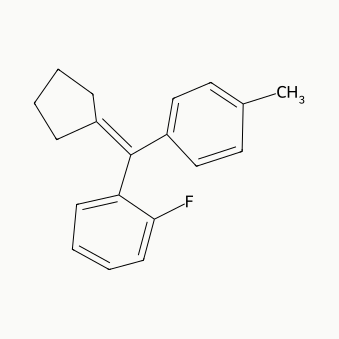 Cc1ccc(C(=C2CCCC2)c2ccccc2F)cc1